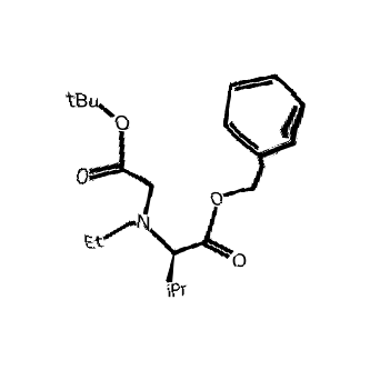 CCN(CC(=O)OC(C)(C)C)[C@@H](C(=O)OCc1ccccc1)C(C)C